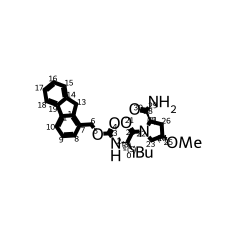 CC[C@H](C)[C@H](NC(=O)OCc1cccc2c1Cc1ccccc1-2)C(=O)N1C[C@H](OC)C[C@@H]1C(N)=O